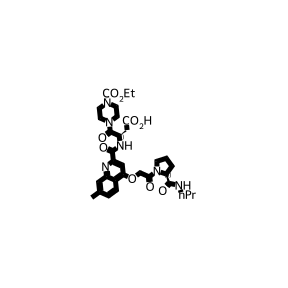 CCCNC(=O)[C@@H]1CCCN1C(=O)COc1cc(C(=O)N[C@@H](CC(=O)O)C(=O)N2CCN(C(=O)OCC)CC2)nc2cc(C)ccc12